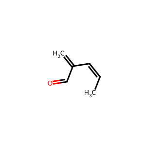 C=C(C=O)/C=C\C